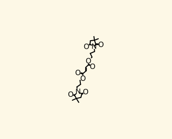 CC1(C)CC(=O)N(CCCOC(=O)/C=C/C(=O)OCCCN2C(=O)CC(C)(C)C2=O)C1=O